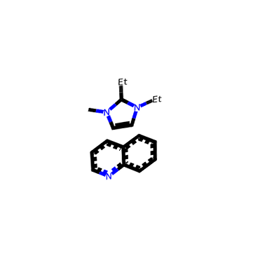 CCC1N(C)C=CN1CC.c1ccc2ncccc2c1